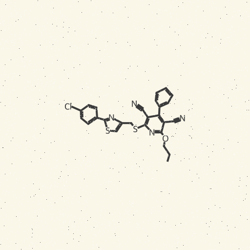 CCCOc1nc(SCc2csc(-c3ccc(Cl)cc3)n2)c(C#N)c(-c2ccccc2)c1C#N